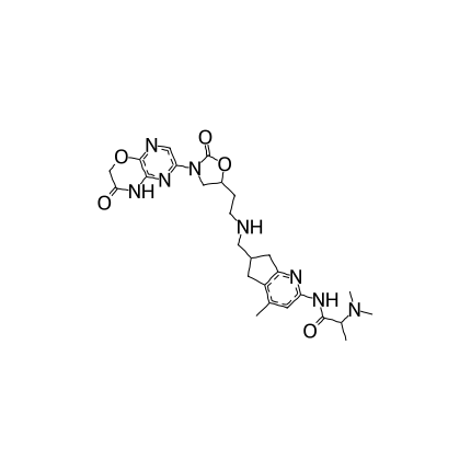 Cc1cc(NC(=O)C(C)N(C)C)nc2c1CC(CNCCC1CN(c3cnc4c(n3)NC(=O)CO4)C(=O)O1)C2